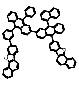 c1ccc(-c2c3ccccc3c(-c3cccc(-c4ccc5c(c4)oc4c6ccccc6ccc54)c3)c3ccc(-c4ccc5c(-c6ccc7c(c6)oc6c8ccccc8ccc76)c6ccccc6c(-c6cccc7ccccc67)c5c4)cc23)cc1